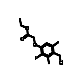 CCOC(=O)COc1cc(C)c(CCl)c(C)c1F